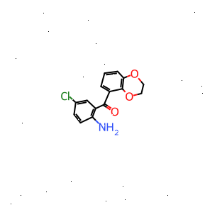 Nc1ccc(Cl)cc1C(=O)c1cccc2c1OCCO2